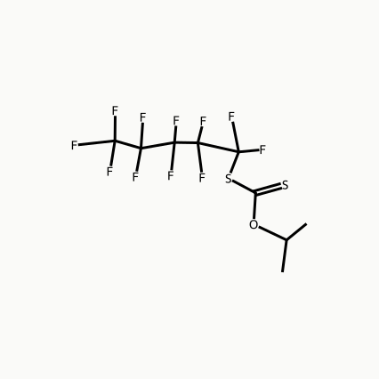 CC(C)OC(=S)SC(F)(F)C(F)(F)C(F)(F)C(F)(F)C(F)(F)F